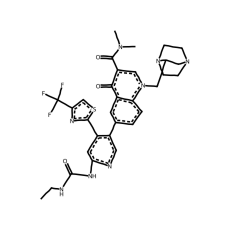 CCNC(=O)Nc1cc(-c2nc(C(F)(F)F)cs2)c(-c2ccc3c(c2)c(=O)c(C(=O)N(C)C)cn3CC2CN3CCN2CC3)cn1